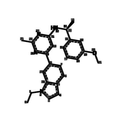 CCn1ccc2ccc(-c3cc(N[C@@H](C)c4cccc(OC)c4)nc(C)n3)cc21